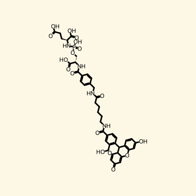 O=C1C=CC2C(=C1)Oc1cc(O)ccc1C2c1ccc(C(=O)NCCCCCC(=O)NCc2ccc(C(=O)N[C@@H](COP(=O)(O)N[C@@H](CCC(=O)O)C(=O)O)C(=O)O)cc2)cc1C(=O)O